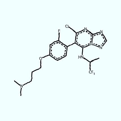 CC(Nc1c(-c2ccc(OCCCN(C)C)cc2F)c(Cl)nc2ncnn12)C(F)(F)F